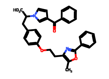 Cc1oc(-c2ccccc2)nc1CCOc1ccc(CC(C(=O)O)n2ccc(C(=O)c3ccccc3)c2)cc1